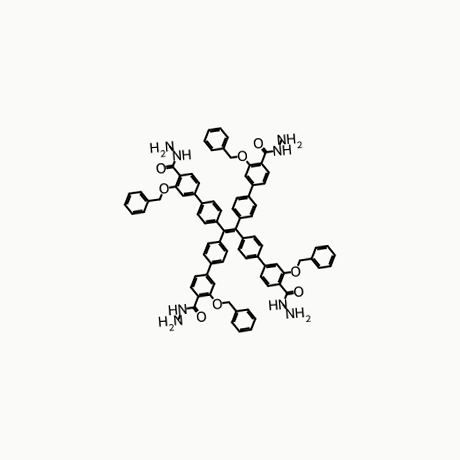 NNC(=O)c1ccc(-c2ccc(C(=C(c3ccc(-c4ccc(C(=O)NN)c(OCc5ccccc5)c4)cc3)c3ccc(-c4ccc(C(=O)NN)c(OCc5ccccc5)c4)cc3)c3ccc(-c4ccc(C(=O)NN)c(OCc5ccccc5)c4)cc3)cc2)cc1OCc1ccccc1